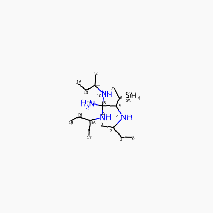 CCC(C)NC(CC)C(N)(NC(C)CC)NC(C)CC.[SiH4]